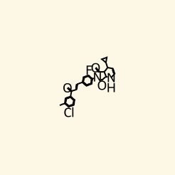 Cc1cc(C(=O)/C=C/c2ccc(N3C(=O)C4NC=CC(C5CC5)C4C3=O)c(F)c2)ccc1Cl